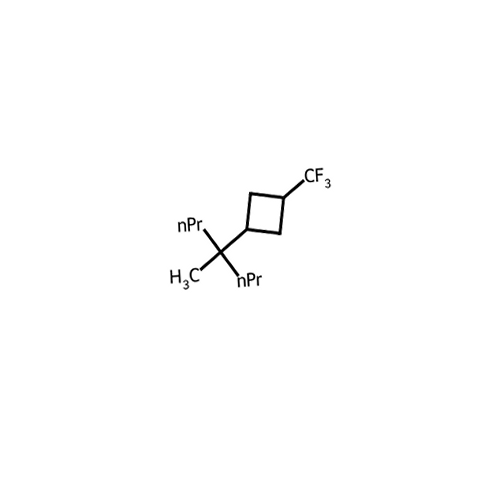 CCCC(C)(CCC)C1CC(C(F)(F)F)C1